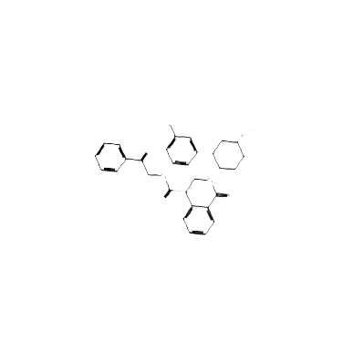 O=C(CNC(=O)[C@@H]1c2ccccc2C(=O)N([C@H]2CC[C@H](O)CC2)[C@H]1c1ccc(Cl)cc1)c1ccccc1